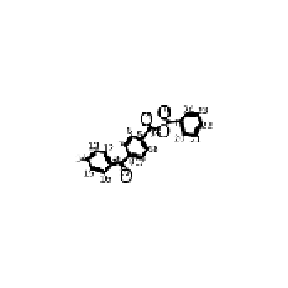 O=C(OC(=O)c1ccc(C(=O)c2ccccc2)cc1)c1ccccc1